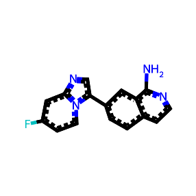 Nc1nccc2ccc(-c3cnc4cc(F)ccn34)cc12